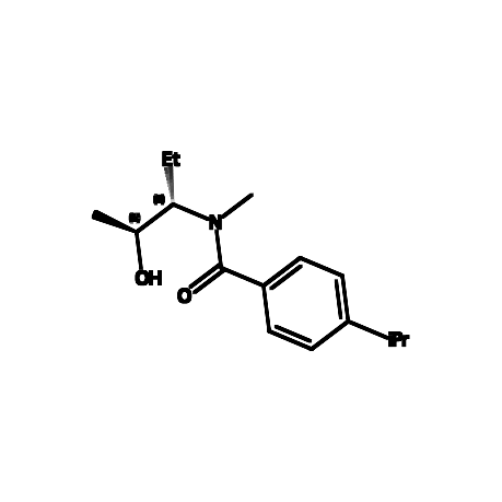 CC[C@@H]([C@H](C)O)N(C)C(=O)c1ccc(C(C)C)cc1